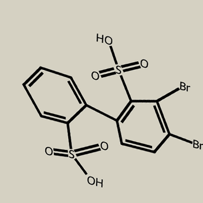 O=S(=O)(O)c1ccccc1-c1ccc(Br)c(Br)c1S(=O)(=O)O